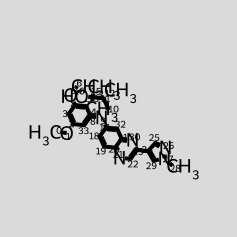 COc1cc(OC)cc(N(CC(C)C(C)(C)O)c2ccc3ncc(-c4cnn(C)c4)nc3c2)c1